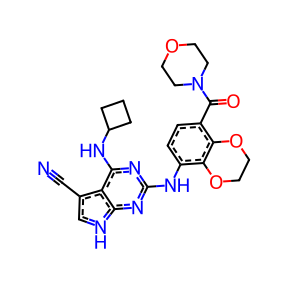 N#Cc1c[nH]c2nc(Nc3ccc(C(=O)N4CCOCC4)c4c3OCCO4)nc(NC3CCC3)c12